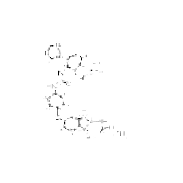 COC(=O)Nc1[nH]c2cc(Oc3ccc(NC(=O)Nc4cc(C(F)(F)F)ccc4-n4cncn4)cc3)ccc2[n+]1[O-]